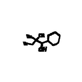 N#CC(Br)(CBr)C(O)C1CCCCC1